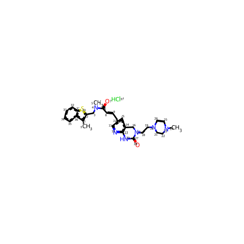 Cc1c(CN(C)C(=O)/C=C/c2cnc3c(c2)CN(CCN2CCN(C)CC2)C(=O)N3)sc2ccccc12.Cl